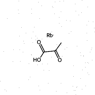 CC(=O)C(=O)O.[Rb]